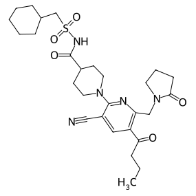 CCCC(=O)c1cc(C#N)c(N2CCC(C(=O)NS(=O)(=O)CC3CCCCC3)CC2)nc1CN1CCCC1=O